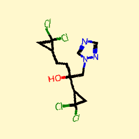 OC(CCC1CC1(Cl)Cl)(Cn1cncn1)C1CC1(Cl)Cl